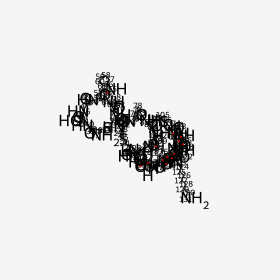 CCC(C)[C@@H]1NC(=O)[C@H](C(C)C)NC(=O)[C@H]2NC(=O)CNC(=O)[C@@H]3CS[C@@H](C)[C@@H](NC(=O)C4CSC[C@H](N)C(=O)N[C@@H](CO)C(=O)NCC(=O)N[C@@H](Cc5c[nH]c6ccccc56)C(=O)N[C@@H](C(C)C)C(=O)N4)C(=O)N[C@@H](CC(C)C)C(=O)N[C@@H](C(=O)N[C@@H](C(C)CC)C(=O)N[C@@H](CCC(=O)O)C(=O)N3)[C@H](C)SC[C@H](NC1=O)C(=O)N[C@@H](C)C(=O)N[C@H](C(=O)NCCCCCCCN)C[S+]([O-])[C@H]2C